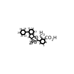 Cc1c(C(=O)O)cccc1C(=O)OC1c2cccc(-c3ccccc3)c2CC1C(C)C.[Zr]